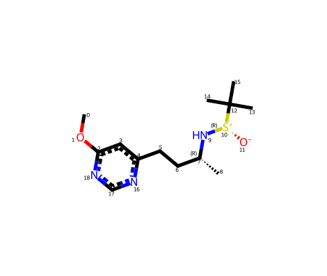 COc1cc(CC[C@@H](C)N[S@@+]([O-])C(C)(C)C)ncn1